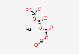 [Na+].[O]=[Al][O][Si](=O)O[Si](=O)O[Si](=O)[O-]